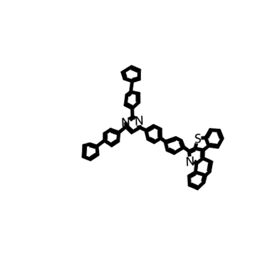 c1ccc(-c2ccc(-c3cc(-c4ccc(-c5ccc(-c6nc7c8ccccc8ccc7c7c6sc6ccccc67)cc5)cc4)nc(-c4ccc(-c5ccccc5)cc4)n3)cc2)cc1